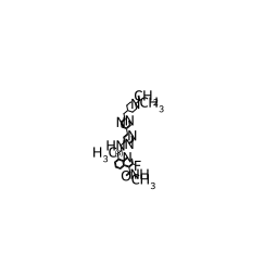 C=C(C)N1CCC(Cc2ncc(-c3cc(NC[C@@H](C)c4cccc5c(C(=O)NC)c(F)cnc45)ncn3)cn2)CC1